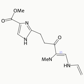 C=CN/C=C(\NC)C(=O)CCc1nc(C(=O)OC)c[nH]1